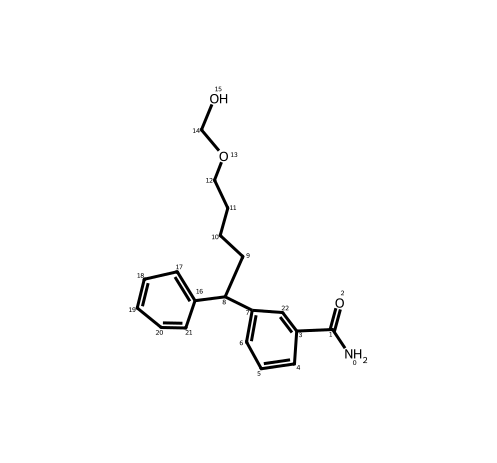 NC(=O)c1cccc(C(CCCCOCO)c2ccccc2)c1